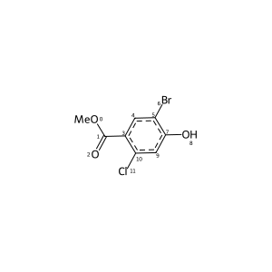 COC(=O)c1cc(Br)c(O)cc1Cl